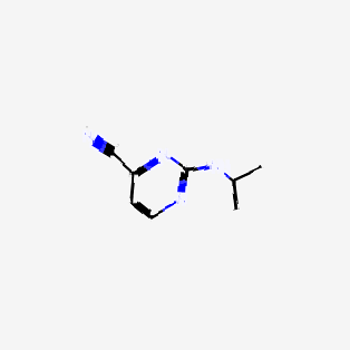 CC(C)Nc1nccc(C#N)n1